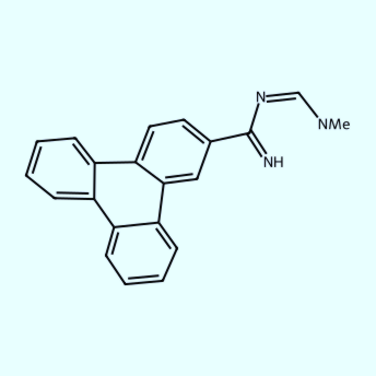 CN/C=N\C(=N)c1ccc2c3ccccc3c3ccccc3c2c1